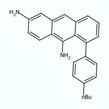 CCCCc1ccc(-c2cccc3cc4cc(N)ccc4c(N)c23)cc1